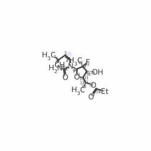 C=C(C)/C=C\N(C(N)=O)[C@@H]1O[C@H]([C@H](C)OC(=O)CC)[C@@H](O)[C@]1(C)F